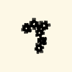 c1ccc(-c2nc(-c3ccc4c(c3)c3ccccc3n4-c3cccc(-c4ncccn4)c3)ns2)cc1